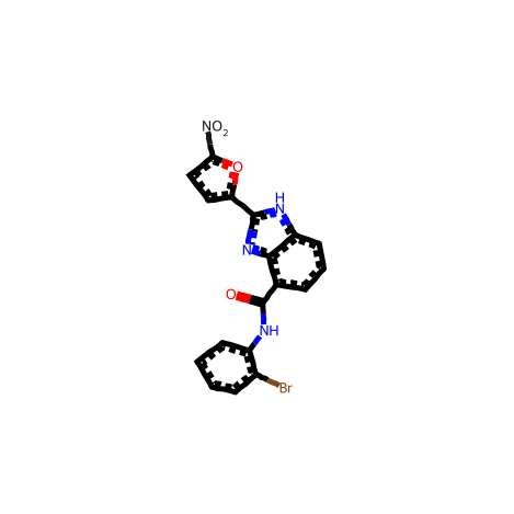 O=C(Nc1ccccc1Br)c1cccc2[nH]c(-c3ccc([N+](=O)[O-])o3)nc12